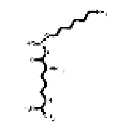 NCCCCCCOP(O)OC(=O)[C@@H](N)CCCNC(N)N